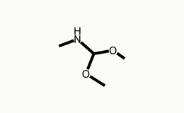 CNC(OC)OC